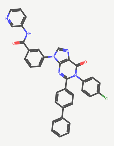 O=C(Nc1cccnc1)c1cccc(-n2cnc3c(=O)n(-c4ccc(Cl)cc4)c(-c4ccc(-c5ccccc5)cc4)nc32)c1